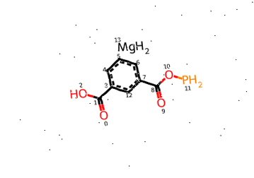 O=C(O)c1cccc(C(=O)OP)c1.[MgH2]